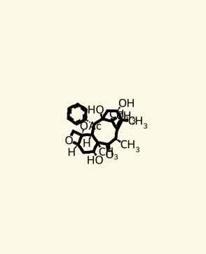 CC(=O)O[C@@]12CO[C@@H]1C[C@H](O)[C@@]1(C)C(=O)[C@H](C)C3=C(C)[C@@H](O)C[C@@](O)([C@@H](c4ccccc4)[C@H]21)C3(C)C